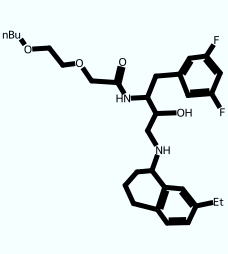 CCCCOCCOCC(=O)NC(Cc1cc(F)cc(F)c1)C(O)CNC1CCCc2ccc(CC)cc21